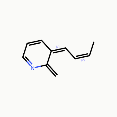 C=c1nccc/c1=C/C=C\C